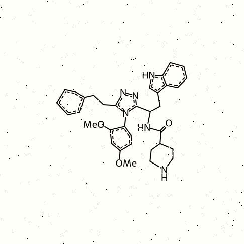 COc1ccc(-n2c(CCc3ccccc3)nnc2C(Cc2c[nH]c3ccccc23)NC(=O)C2CCNCC2)c(OC)c1